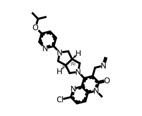 C=NCc1c(N2C[C@H]3CN(c4ccc(OC(C)C)cn4)C[C@@H]3C2)c2nc(Cl)ccc2n(C)c1=O